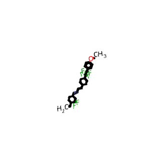 C=CC1CCC(/C=C/CCC2CCC(C(F)(F)C(F)(F)c3ccc(OCC)cc3)CC2)CC1(F)F